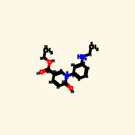 CCNc1cccc(-n2cc(C(=O)OCC)ccc2=O)c1